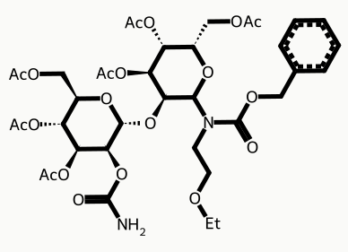 CCOCCN(C(=O)OCc1ccccc1)C1O[C@@H](COC(C)=O)[C@@H](OC(C)=O)[C@H](OC(C)=O)[C@@H]1O[C@H]1O[C@H](COC(C)=O)[C@@H](OC(C)=O)[C@H](OC(C)=O)[C@@H]1OC(N)=O